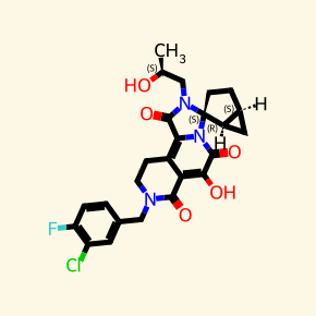 C[C@H](O)CN1C(=O)c2c3c(c(O)c(=O)n2[C@]12CC[C@H]1C[C@H]12)C(=O)N(Cc1ccc(F)c(Cl)c1)CC3